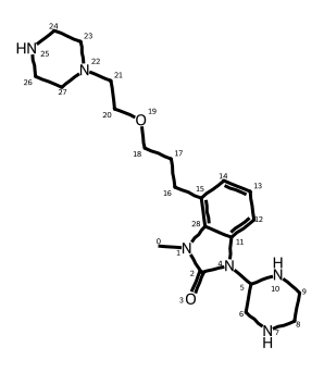 Cn1c(=O)n(C2CNCCN2)c2cccc(CCCOCCN3CCNCC3)c21